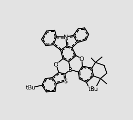 CC(C)(C)c1ccc2sc3c(c2c1)Oc1c2c(c4c5ccccc5n5c6ccccc6c1c45)Oc1c(cc(C(C)(C)C)c4c1C(C)(C)CCC4(C)C)B32